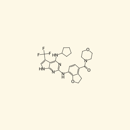 O=C(c1ccc(Nc2nc(NC3CCCC3)c3c(C(F)(F)F)c[nH]c3n2)c2c1CCO2)N1CCOCC1